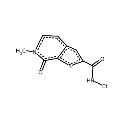 CCNC(=O)c1cc2ccn(C)c(=O)c2s1